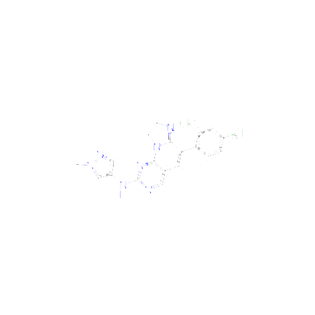 Cn1cc(Nc2ncc3c(n2)N2CCN=C2C(c2ccc(Cl)cc2Cl)=C3)cn1